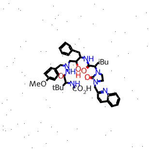 CCC(C)C(C(=O)NC(Cc1ccccc1)C(O)CN(Cc1ccc(OC)cc1)NC(=O)C(NC(=O)O)C(C)(C)C)N1CCN(Cc2ccc3ccccc3n2)C1=O